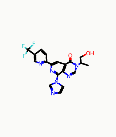 CC(CO)n1cnc2c(-n3ccnc3)nc(-c3ccc(C(F)(F)F)cn3)cc2c1=O